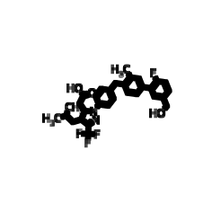 Cc1cc(-c2cc(CO)ccc2F)ccc1Cc1ccc(N2N=C(C(F)(F)F)C(CC(C)C)C2CC(=O)O)cc1